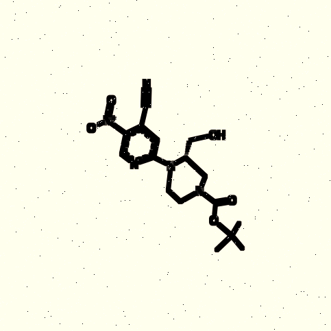 CC(C)(C)OC(=O)N1CCN(c2cc(C#N)c([N+](=O)[O-])cn2)[C@H](CO)C1